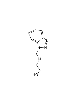 OCCNCn1nnc2ccccc21